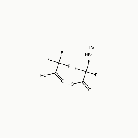 Br.Br.O=C(O)C(F)(F)F.O=C(O)C(F)(F)F